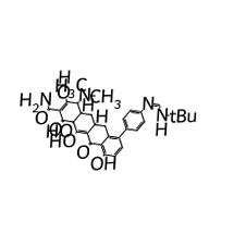 CN(C)C1C(O)=C(C(N)=O)C(=O)[C@]2(O)C(O)=C3C(=O)c4c(O)ccc(-c5ccc(/N=C\NC(C)(C)C)cc5)c4C[C@@H]3C[C@H]12